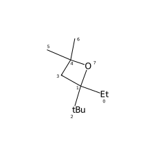 CCC1(C(C)(C)C)CC(C)(C)O1